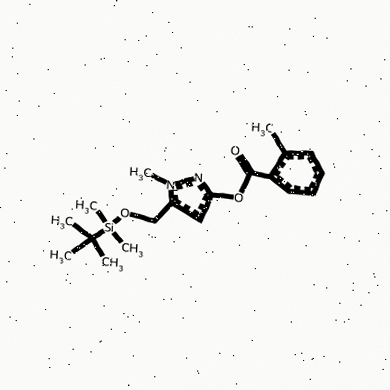 Cc1ccccc1C(=O)Oc1cc(CO[Si](C)(C)C(C)(C)C)n(C)n1